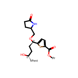 CCCCC[C@H](O)CC[C@@H](OCC1CCC(=O)N1)c1ccc(C(=O)OC(C)C)s1